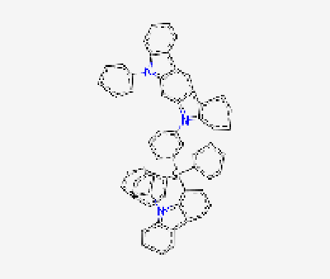 c1ccc(-n2c3ccccc3c3cc4c5ccccc5n(-c5cccc([Si](c6ccccc6)(c6ccccc6)c6cccc7c8ccccc8n(-c8ccccc8)c67)c5)c4cc32)cc1